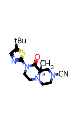 CC(C)(C)c1cnc(N2CCN3CCN(C#N)C[C@@]3(C)C2=O)s1